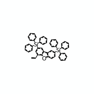 C=Cc1cc([Si](c2ccccc2)(c2ccccc2)c2ccccc2)cc2c1oc1ccc([Si](c3ccccc3)(c3ccccc3)c3ccccc3)cc12